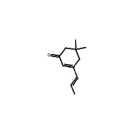 C/C=C/C1=CC(=O)CC(C)(C)C1